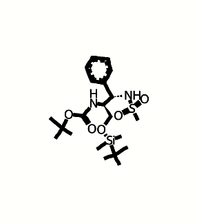 CC(C)(C)OC(=O)N[C@H](CO[Si](C)(C)C(C)(C)C)[C@@H](NS(C)(=O)=O)c1ccccc1